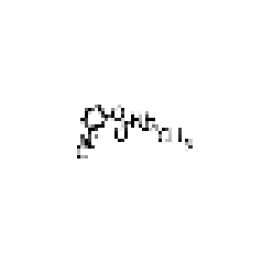 [C-]#[N+]c1cccc(OC(=O)NCCC)c1